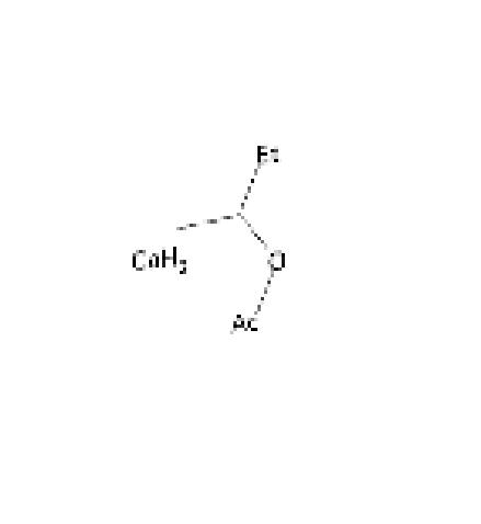 CCC(C)OC(C)=O.[CaH2]